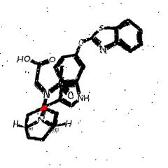 CC(=O)N(CC(=O)O)C1C[C@H]2CC[C@@H](C1)N2Cc1c[nH]c2cc(Oc3nc4ccccc4s3)ccc12